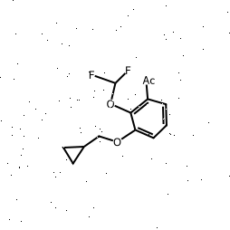 CC(=O)c1cccc(OCC2CC2)c1OC(F)F